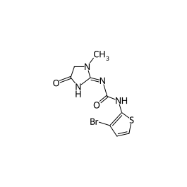 CN1CC(=O)NC1=NC(=O)Nc1sccc1Br